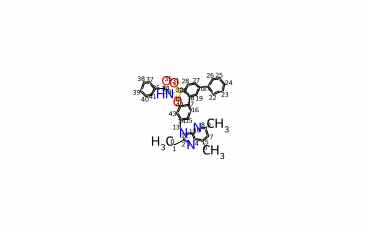 CCc1nc2c(C)cc(C)nc2n1Cc1ccc(-c2cc(-c3ccccc3)ccc2S(=O)(=O)NC(=O)c2ccccc2)cc1